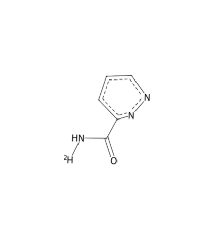 [2H]NC(=O)c1cccnn1